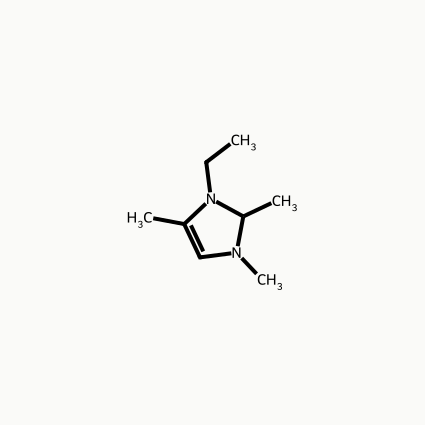 CCN1C(C)=CN(C)C1C